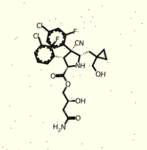 N#C[C@]1(c2ccc(Cl)cc2F)[C@H](CC2(CO)CC2)N[C@@H](C(=O)OC[C@@H](O)CC(N)=O)[C@@H]1c1cccc(Cl)c1F